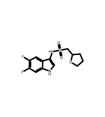 O=S(=O)(CC1CCCO1)Nc1c[nH]c2cc(F)c(F)cc12